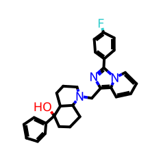 OC1(c2ccccc2)CCCC2C1CCCN2Cc1nc(-c2ccc(F)cc2)n2ccccc12